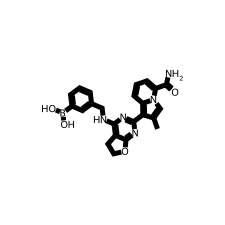 Cc1cn2c(C(N)=O)cccc2c1-c1nc(NCc2cccc(B(O)O)c2)c2c(n1)OCC2